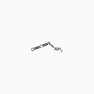 O=C=[N][AlH2]